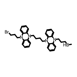 CBCCCN1c2ccccc2N(CCCCN2c3ccccc3N(CCCBr)c3ccccc32)c2ccccc21